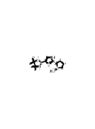 CC1(C)OB(c2c[nH]c([C@@H]3CCCN3P)n2)OC1(C)C